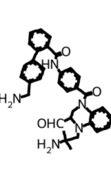 CC(C)(N)CN1c2ccccc2N(C(=O)c2ccc(NC(=O)c3ccccc3-c3ccc(CN)cc3)cc2)CC1C=O